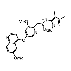 COc1ccc2nccc(Oc3cnc(CC(=O)Nc4c(C)c(C)nn4C(C)(C)C)c(OC)c3)c2c1